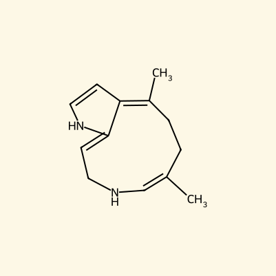 C/C1=C/NC/C=c2\[nH]cc\c2=C(/C)CC1